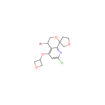 Clc1cc(OC2COC2)c2c(n1)C1(CCOC1)OCC2Br